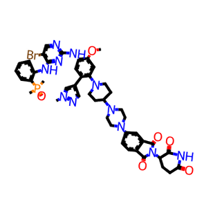 COc1cc(N2CCC(N3CCN(c4ccc5c(c4)C(=O)N(C4CCC(=O)NC4=O)C5=O)CC3)CC2)c(-c2cnn(C)c2)cc1Nc1ncc(Br)c(Nc2ccccc2P(C)(C)=O)n1